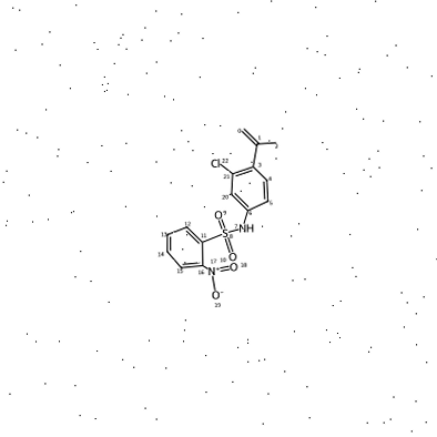 C=C(C)c1ccc(NS(=O)(=O)c2ccccc2[N+](=O)[O-])cc1Cl